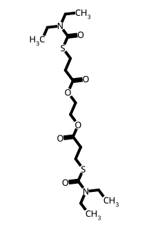 CCN(CC)C(=O)SCCC(=O)OCCOC(=O)CCSC(=O)N(CC)CC